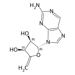 C=C1O[C@@H](n2cnc3cnc(N)nc32)[C@H](O)[C@@H]1O